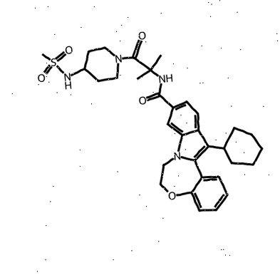 CC(C)(NC(=O)c1ccc2c(C3CCCCC3)c3n(c2c1)CCOc1ccccc1-3)C(=O)N1CCC(NS(C)(=O)=O)CC1